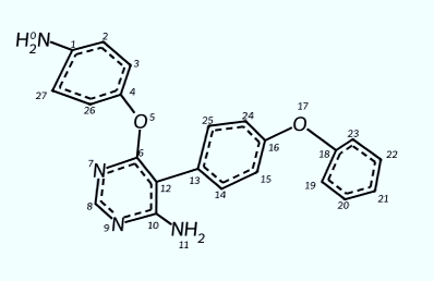 Nc1ccc(Oc2ncnc(N)c2-c2ccc(Oc3ccccc3)cc2)cc1